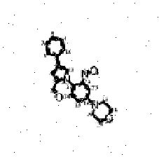 O=Cc1cc(-c2ccccc2)cn1-c1ccc(N2CCOCC2)cc1N=O